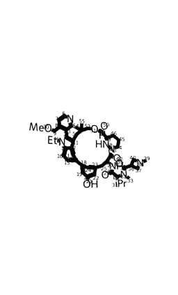 CCn1c(-c2cnccc2COC)c2c3cc(ccc31)-c1cc(O)cc(c1)C[C@H](NC(=O)[C@H](C(C)C)N(C)C(=O)C1CN(C)C1)C(=O)N1CCC[C@H](N1)C(=O)OCC(C)(C)C2